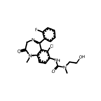 CN(CCO)C(=O)Nc1ccc2c(c1Cl)C(c1ccccc1F)=NCC(=O)N2C